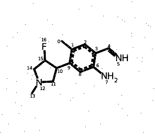 Cc1cc(C=N)c(N)cc1C1CN(C)CC1F